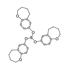 c1cc2c(cc1OB(Oc1ccc3c(c1)CCCCO3)Oc1ccc3c(c1)CCCCO3)CCCCO2